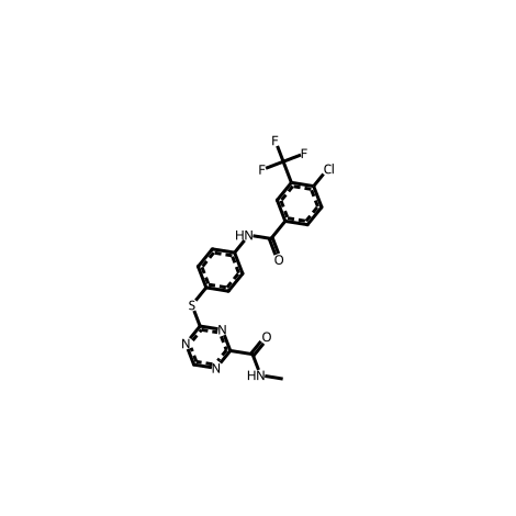 CNC(=O)c1ncnc(Sc2ccc(NC(=O)c3ccc(Cl)c(C(F)(F)F)c3)cc2)n1